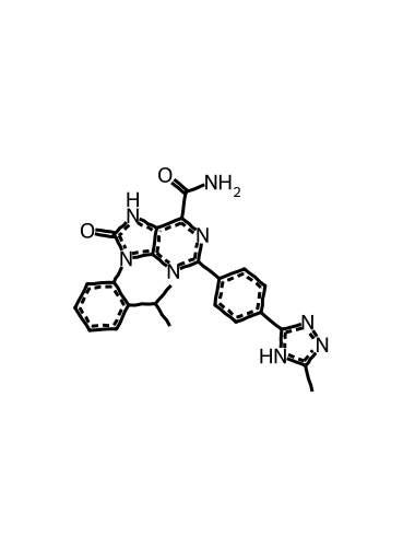 Cc1nnc(-c2ccc(-c3nc(C(N)=O)c4[nH]c(=O)n(-c5ccccc5C(C)C)c4n3)cc2)[nH]1